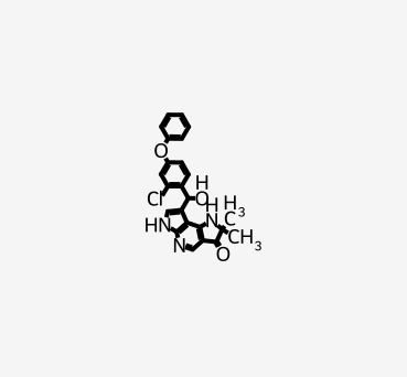 CC1(C)Nc2c(cnc3[nH]cc(C(O)c4ccc(Oc5ccccc5)cc4Cl)c23)C1=O